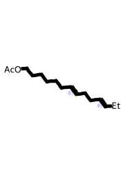 CC/C=C/CC/C=C/CCCCCCOC(C)=O